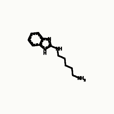 NCCCCCNc1nc2ccccc2[nH]1